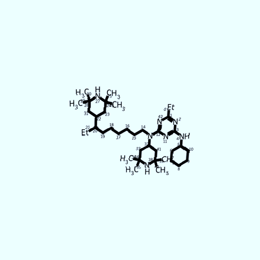 CCc1nc(NC2CCCCC2)nc(N(CCCCCCC(CC)C2CC(C)(C)NC(C)(C)C2)C2CC(C)(C)NC(C)(C)C2)n1